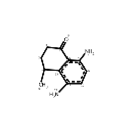 CC1CCC(=O)c2c(N)ccc(N)c21